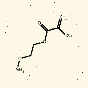 C=C(C(=O)OCCO[SiH3])C(C)(C)C